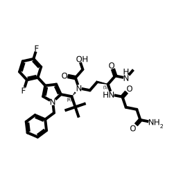 CNC(=O)[C@H](CCN(C(=O)CO)[C@@H](c1cc(-c2cc(F)ccc2F)cn1Cc1ccccc1)C(C)(C)C)NC(=O)CCC(N)=O